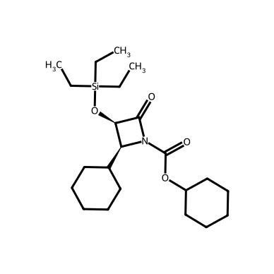 CC[Si](CC)(CC)O[C@H]1C(=O)N(C(=O)OC2CCCCC2)[C@H]1C1CCCCC1